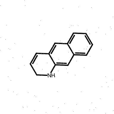 C1=Cc2cc3ccccc3cc2NC1